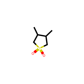 CC1CS(=O)(=O)CC1C